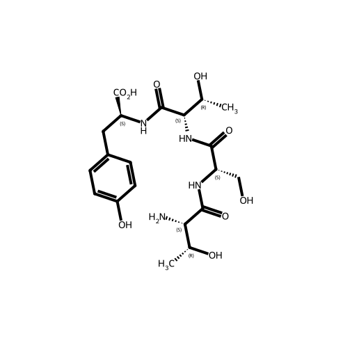 C[C@@H](O)[C@H](N)C(=O)N[C@@H](CO)C(=O)N[C@H](C(=O)N[C@@H](Cc1ccc(O)cc1)C(=O)O)[C@@H](C)O